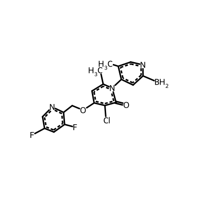 Bc1cc(-n2c(C)cc(OCc3ncc(F)cc3F)c(Cl)c2=O)c(C)cn1